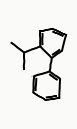 CC(C)c1ccccc1-c1[c]cccc1